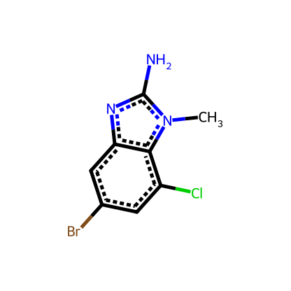 Cn1c(N)nc2cc(Br)cc(Cl)c21